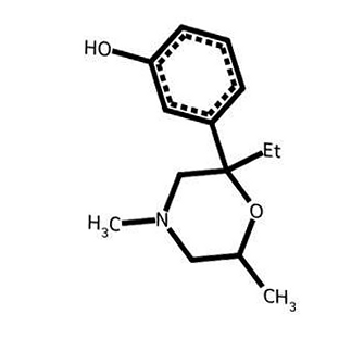 CCC1(c2cccc(O)c2)CN(C)CC(C)O1